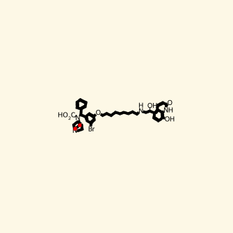 O=C(O)N(C1CN2CCC1CC2)[C@H](c1ccccc1)c1cc(Br)cc(OCCCCCCCCCNC[C@H](O)c2ccc(O)c3[nH]c(=O)ccc23)c1